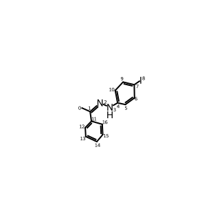 CC(=NNc1ccc(I)cc1)c1ccccc1